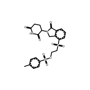 Cc1ccc(S(=O)(=O)OCCS(=O)(=O)c2cccc3c2CN(C2CCC(=O)NC2=O)C3=O)cc1